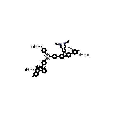 C=C/C=C\CCCC1(CCC/C=C\C=C)c2cc(-c3ccc(-c4nc(-c5ccc(CCCCCC)cc5)nc(-c5ccc(-c6cc7c(c8ccccc68)-c6ccc(C)cc6C7(CCCCCC)CCCCCC)cc5)n4)cc3)ccc2-c2ccc(-c3cc(CCCCCC)c(C)cc3CC)cc21